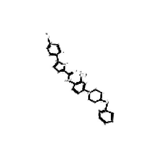 O=C(Nc1ccc(N2CCC(Oc3ccccc3)CC2)cc1C(=O)O)c1ccc(-c2ccc(Cl)cc2)o1